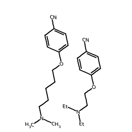 CCN(CC)CCOc1ccc(C#N)cc1.CN(C)CCCCCOc1ccc(C#N)cc1